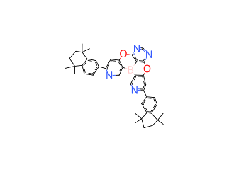 CC1(C)CCC(C)(C)c2cc(-c3cc4c(cn3)B3c5cnc(-c6ccc7c(c6)C(C)(C)CCC7(C)C)cc5Oc5ncnc(c53)O4)ccc21